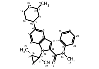 C[C@H]1C[C@@H](c2ccc3c(c2)cc(C(=O)N(C)c2ccccc2)n3[C@@]2(C#N)C[C@@H]2C)CCO1